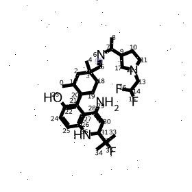 CC1CC(C)(/C=N/C(C)C2CCN(CC(F)F)C2)CCC1c1c(O)ccc2c1C(N)=CC(C(C)(C)F)N2